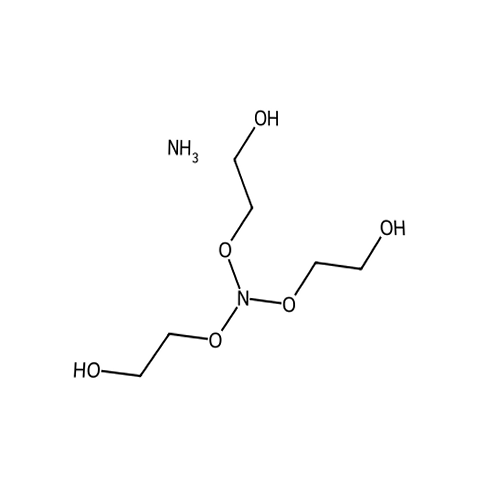 N.OCCON(OCCO)OCCO